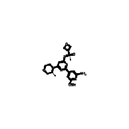 COc1cc(-c2nc(N=[S@](C)(=O)C3COC3)cc(N3CCOC[C@H]3C)n2)cc(N)n1